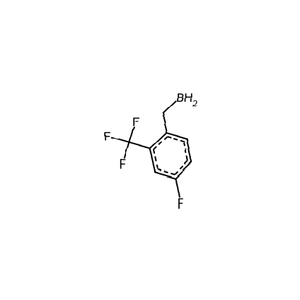 BCc1ccc(F)cc1C(F)(F)F